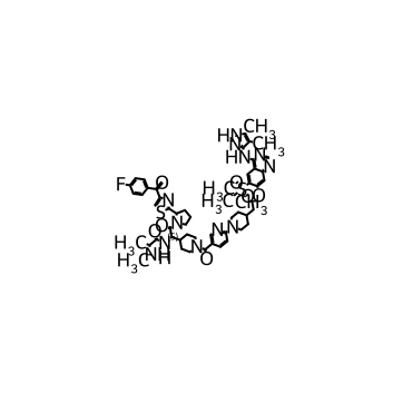 CNC(C)C(=O)N[C@H](C(=O)N1CCCC1c1nc(C(=O)c2ccc(F)cc2)cs1)C1CCN(C(=O)c2ccc(N3CCC(CCOc4cc5ncnc(Nc6n[nH]c(C)c6C)c5cc4S(=O)(=O)C(C)(C)C)CC3)nc2)CC1